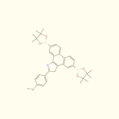 COc1ccc(C2=Nc3c(c4cc(B5OC(C)(C)C(C)(C)O5)ccc4c4ccc(B5OC(C)(C)C(C)(C)O5)cc34)C2)cc1